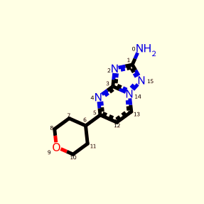 Nc1nc2nc(C3CCOCC3)ccn2n1